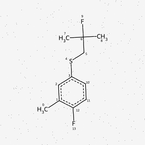 Cc1cc(SCC(C)(C)F)ccc1F